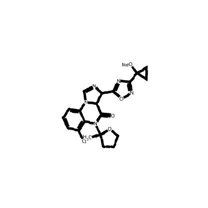 COC1(c2noc(C3N=CN4c5cccc(Cl)c5N(C5(C)CCCO5)C(=O)C34)n2)CC1